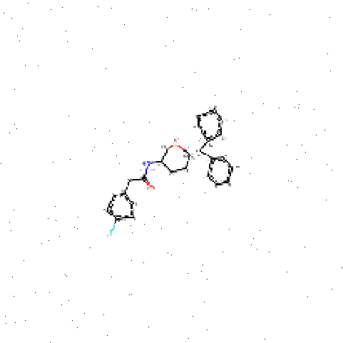 O=C(Cc1ccc(F)cc1)NC1CC[C@@H](C(c2ccccc2)c2ccccc2)OC1